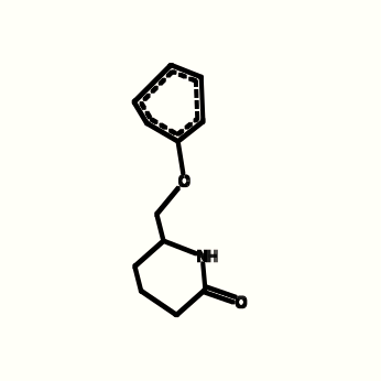 O=C1CCCC(COc2ccccc2)N1